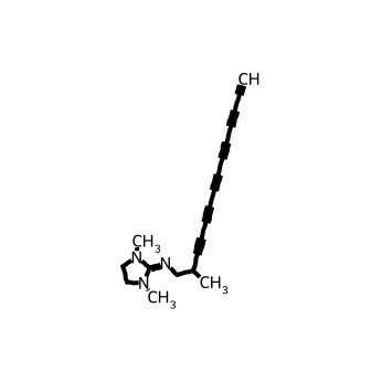 C#CC#CC#CC#CC#CC#CC(C)CN=C1N(C)CCN1C